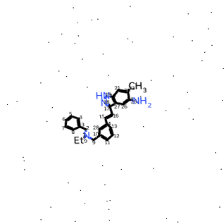 CCN(Cc1ccccc1)Cc1cccc(C=Cc2n[nH]c3cc(C)c(N)cc23)c1